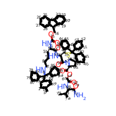 Cc1ccc(C(NCCCC[C@H](NC(=O)OCC2c3ccccc3-c3ccccc32)C(=O)N[C@@H](CSC(c2ccccc2)(c2ccccc2)c2ccccc2)C(=O)N2CCC[C@H]2C(=O)OCC(=O)N[C@H](C(N)=O)C(C)C)(c2ccccc2)c2ccccc2)cc1